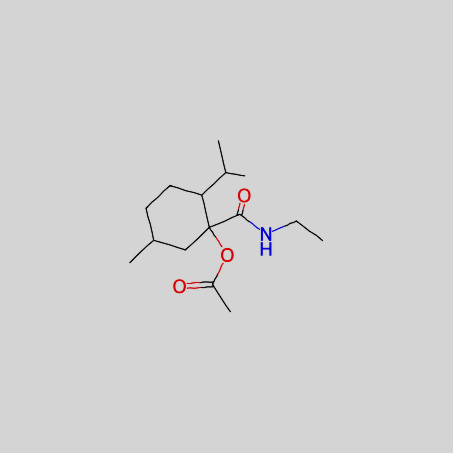 CCNC(=O)C1(OC(C)=O)CC(C)CCC1C(C)C